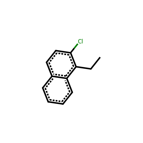 CCc1c(Cl)ccc2ccccc12